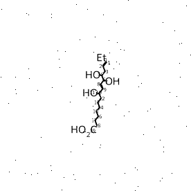 CCC=CCC(O)C(O)C=CC(O)CCCCCCCC(=O)O